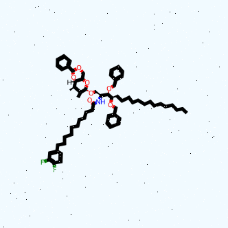 CCCCCCCCCCCCCC[C@@H](OCc1ccccc1)[C@@H](OCc1ccccc1)[C@H](CO[C@H]1OC2COC(c3ccccc3)O[C@@H]2[C@H](C)C1C)NC(=O)CCCCCCCCCCc1ccc(F)c(F)c1